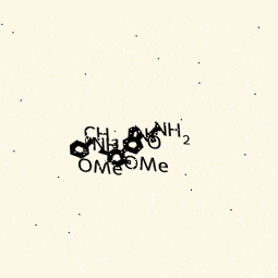 COc1cccc([C@@H](C)NCc2ccc(OC)c(-c3ccc4c(ccn4C(=O)CN)c3)c2)c1